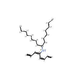 C=C/C=C\C(=C/C=C)NC(CCCCCCC)CCCCCCCC